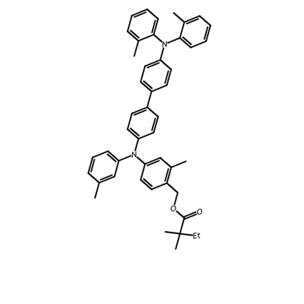 CCC(C)(C)C(=O)OCc1ccc(N(c2ccc(-c3ccc(N(c4ccccc4C)c4ccccc4C)cc3)cc2)c2cccc(C)c2)cc1C